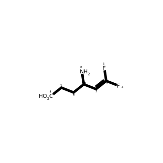 NC(C=C(F)F)CCC(=O)O